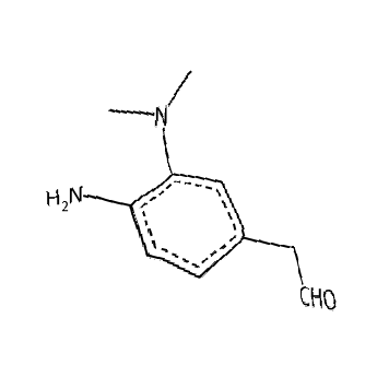 CN(C)c1cc(CC=O)ccc1N